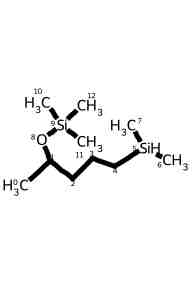 CC(CCC[SiH](C)C)O[Si](C)(C)C